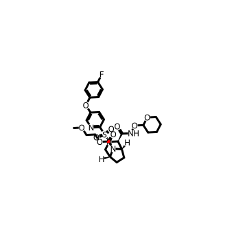 COCCOC(=O)N1[C@@H]2CC[C@H]1[C@H](C(=O)NOC1CCCCO1)N(S(=O)(=O)c1ccc(Oc3ccc(F)cc3)cn1)C2